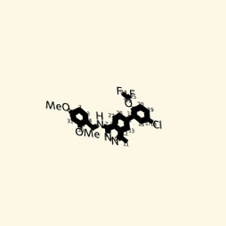 COc1ccc(CNc2nnc(C)c3cc(-c4cc(Cl)ccc4OC(F)F)ccc23)c(OC)c1